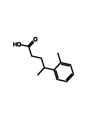 Cc1ccccc1C(C)CCC(=O)O